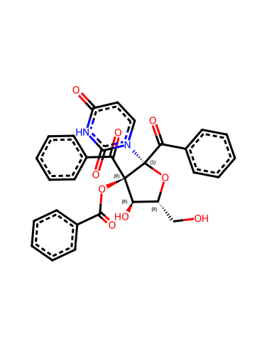 O=C(O[C@]1(C(=O)c2ccccc2)[C@H](O)[C@@H](CO)O[C@@]1(C(=O)c1ccccc1)n1ccc(=O)[nH]c1=O)c1ccccc1